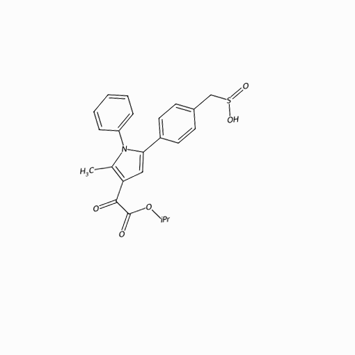 Cc1c(C(=O)C(=O)OC(C)C)cc(-c2ccc(CS(=O)O)cc2)n1-c1ccccc1